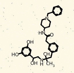 CC(C)(Cc1cccc(CC(=O)NC2CCN(Cc3ccccc3)CC2)c1)NCC(O)c1cc(O)cc(O)c1